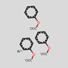 O=C([O-])Oc1ccccc1.O=C([O-])Oc1ccccc1.O=C([O-])Oc1ccccc1.[Bi+3]